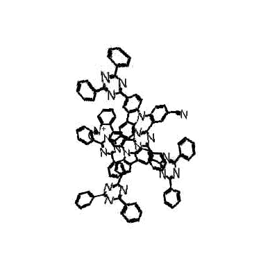 [C-]#[N+]c1ccccc1-c1ccc(-n2c3ccc(-c4nc(-c5ccccc5)nc(-c5ccccc5)n4)cc3c3cc(-c4nc(-c5ccccc5)nc(-c5ccccc5)n4)ccc32)c(-c2nc(-c3ccccc3)nc(-c3cc(C#N)ccc3-n3c4ccc(-c5nc(-c6ccccc6)nc(-c6ccccc6)n5)cc4c4cc(-c5nc(-c6ccccc6)nc(-c6ccccc6)n5)ccc43)n2)c1